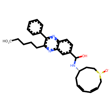 O=C(O)CCCCc1nc2cc(C(O)N[C@H]3C/C=C\C=C/C[S+]([O-])CC3)ccc2nc1-c1ccccc1